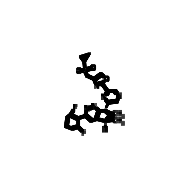 CC1(C)[C@H]2CC[C@]1(c1cncc(-c3nc(CS(=O)(=O)C4CC4)co3)n1)c1nnc(-c3c(F)cccc3F)cc12